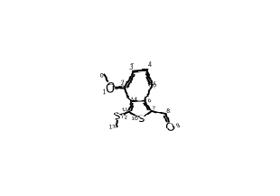 COc1cccc2c(C=O)sc(SC)c12